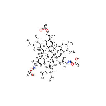 CCCCCCC1(CCCCCC)c2cc(/C(C)=C/OC(C)=O)ccc2-c2c1c1c(c3c2C(CCCCCC)(CCCCCC)c2cc(/C(C)=N/OC(C)=O)ccc2-3)C(CCCCCC)(CCCCCC)c2cc(/C(C)=N/OC(C)=O)ccc2-1